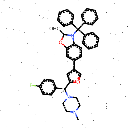 CN1CCN([C@@H](c2ccc(F)cc2)c2cc(-c3ccc4c(c3)OC(C=O)N4C(c3ccccc3)(c3ccccc3)c3ccccc3)co2)CC1